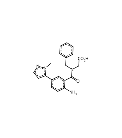 Cn1nccc1-c1ccc(N)c(C(=O)N(CC(=O)O)Cc2ccccc2)c1